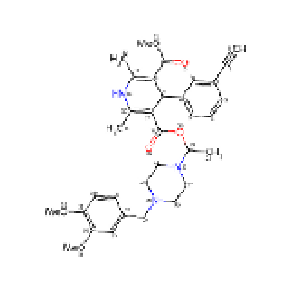 C#Cc1cccc(C2C(C(=O)OC)=C(C)NC(C)=C2C(=O)OC(C)N2CCN(Cc3ccc(OC)c(OC)c3)CC2)c1